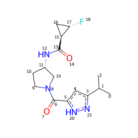 CC(C)c1cc(C(=O)N2CC[C@H](NC(=O)[C@H]3C[C@@H]3F)C2)[nH]n1